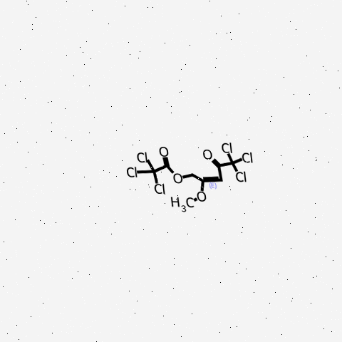 CO/C(=C/C(=O)C(Cl)(Cl)Cl)COC(=O)C(Cl)(Cl)Cl